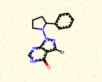 CCc1nn(N2CCCC2c2ccccc2)c2nc[nH]c(=O)c12